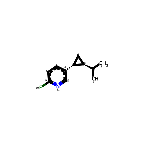 CC(C)[C@@H]1C[C@H]1c1ccc(F)nc1